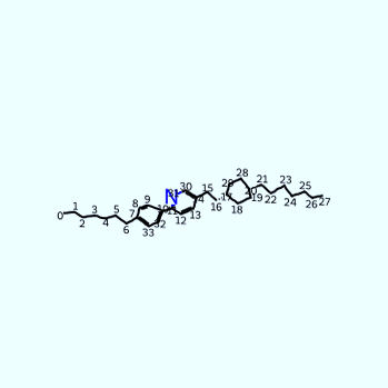 CCCCCCCc1ccc(-c2ccc(CC[C@H]3CC[C@H](CCCCCCC)CC3)cn2)cc1